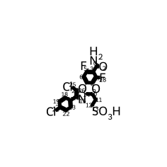 NC(=O)c1c(F)ccc(OC(CCS(=O)(=O)O)c2nc(-c3ccc(Cl)cc3)c(Cl)o2)c1F